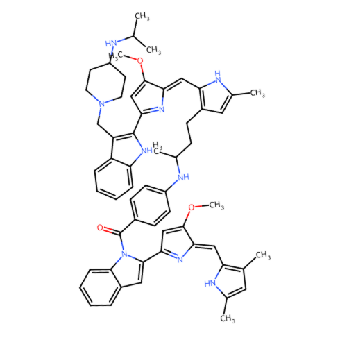 COC1=CC(c2[nH]c3ccccc3c2CN2CCC(NC(C)C)CC2)=N/C1=C\c1[nH]c(C)cc1CCC(C)Nc1ccc(C(=O)n2c(C3=N/C(=C\c4[nH]c(C)cc4C)C(OC)=C3)cc3ccccc32)cc1